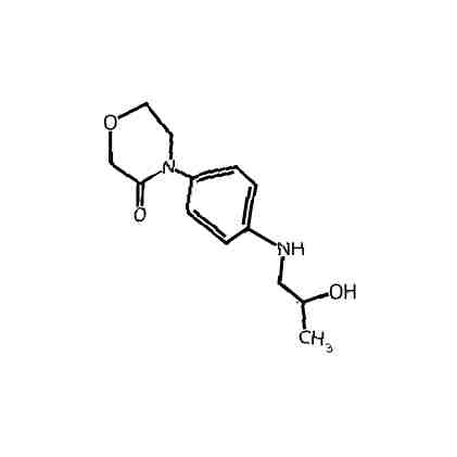 C[C](O)CNc1ccc(N2CCOCC2=O)cc1